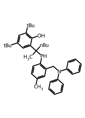 CCCCC(C)(Pc1ccc(C)cc1CN(c1ccccc1)c1ccccc1)c1cc(C(C)(C)C)cc(C(C)(C)C)c1O